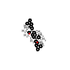 Cc1cc(C)cc(N(c2ccc3c(c2)C(C)(C)c2c-3ccc3c4ccccc4c4ccccc4c23)c2cc(C)c3ccc4c(N(c5cc(C)cc(C)c5)c5ccc6c(c5)C(C)(C)c5c-6ccc6c7ccccc7c7ccccc7c56)cc(C)c5ccc2c3c54)c1